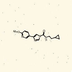 COc1ccc(-c2cn(C(=O)NCCC3CC3)cn2)cn1